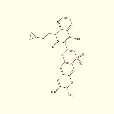 C[C@@H](Oc1ccc2c(c1)S(=O)(=O)N=C(c1c(O)c3cccnc3n(CCC3CC3)c1=O)N2)C(N)=O